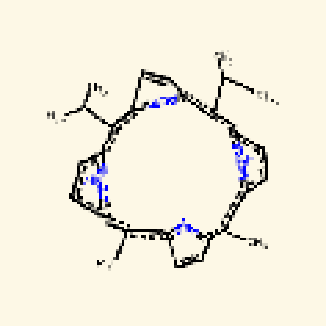 Cc1c2nc(c(C)c3ccc([nH]3)c(C(C)C)c3nc(c(C(C)C)c4ccc1[nH]4)C=C3)C=C2